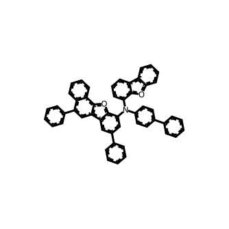 c1ccc(-c2ccc(N(c3cccc4c3oc3ccccc34)c3cc(-c4ccccc4)cc4c3oc3c5ccccc5c(-c5ccccc5)cc43)cc2)cc1